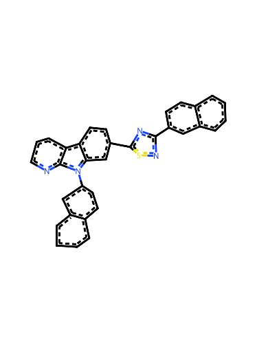 c1ccc2cc(-c3nsc(-c4ccc5c6cccnc6n(-c6ccc7ccccc7c6)c5c4)n3)ccc2c1